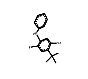 CC(C)(C)c1cc(F)c(Nc2ccccc2)cc1O